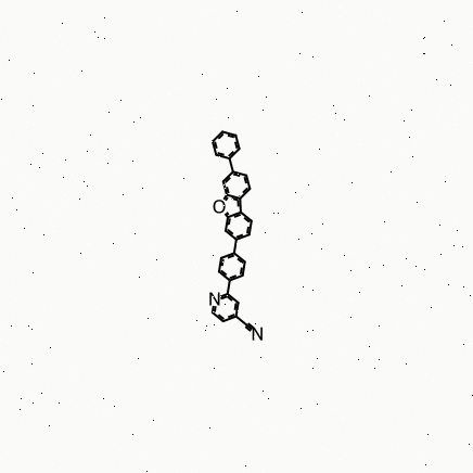 N#Cc1ccnc(-c2ccc(-c3ccc4c(c3)oc3cc(-c5ccccc5)ccc34)cc2)c1